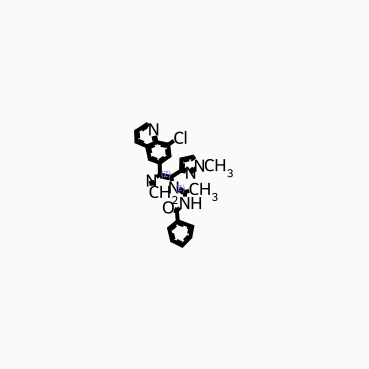 C=N/C(=C(\N=C(/C)NC(=O)c1ccccc1)c1ccn(C)n1)c1cc(Cl)c2ncccc2c1